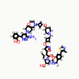 Cc1ncsc1-c1ccc([C@H](C)NC(=O)[C@@H]2C[C@@H](O)CN2C(=O)[C@@H](c2cc(O[C@H]3C[C@H](CN4CCC(O[C@H]5C[C@H](N6CCOC7(CCN(c8cc(-c9ccccc9O)nnc8N)CC7)C6)C5)CC4)C3)no2)C(C)C)cc1